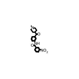 CN1CCC(C(=O)c2cccc(NC(=O)c3cccc([N+](=O)[O-])c3)c2)CC1